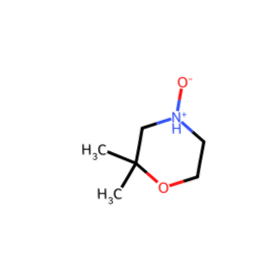 CC1(C)C[NH+]([O-])CCO1